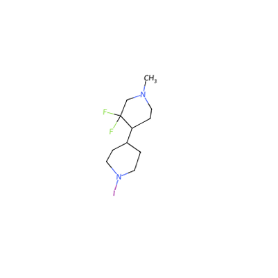 CN1CCC(C2CCN(I)CC2)C(F)(F)C1